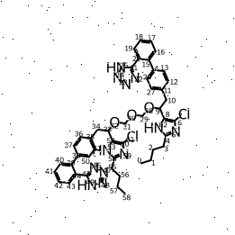 CCCCc1nc(Cl)c(C(Cc2ccc(-c3ccccc3-c3nnn[nH]3)cc2)OCOCOC(Cc2ccc(-c3ccccc3-c3nnn[nH]3)cc2)c2[nH]c(CCCC)nc2Cl)[nH]1